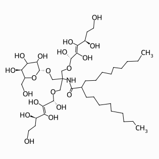 CCCCCCCCCC(CCCCCCCCC)C(=O)NC(CO[C@@H]1OC(CO)[C@@H](O)C(O)C1O)(CO[C@H](O)/C(O)=C(\O)[C@H](O)CCO)CO[C@H](O)/C(O)=C(\O)[C@H](O)CCO